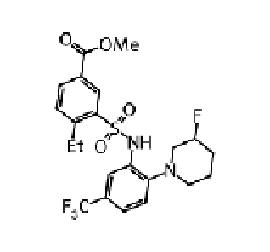 CCc1ccc(C(=O)OC)cc1S(=O)(=O)Nc1cc(C(F)(F)F)ccc1N1CCCC(F)C1